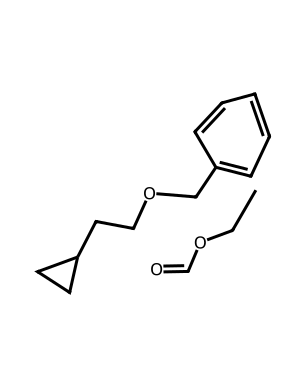 CCOC=O.c1ccc(COCCC2CC2)cc1